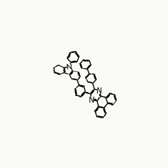 C1=Cc2c(n(-c3ccccc3)c3ccc(-c4cccc(-c5nc6c7ccccc7c7ccccc7c6nc5-c5ccc(-c6ccccc6)cc5)c4)cc23)CC1